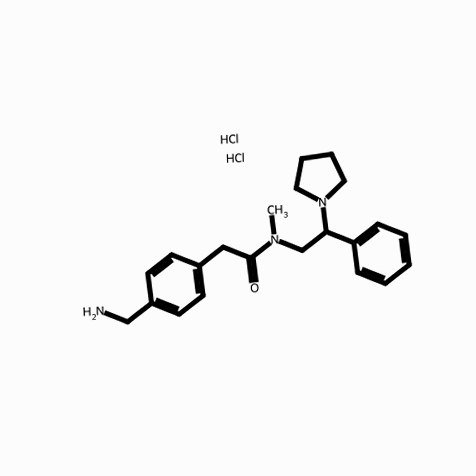 CN(CC(c1ccccc1)N1CCCC1)C(=O)Cc1ccc(CN)cc1.Cl.Cl